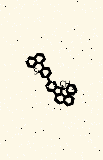 CC1(c2ccccc2)c2cc(-c3ccc4c(c3)Sc3cccc5cccc-4c35)ccc2-c2ccc3ccccc3c21